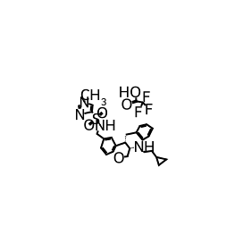 Cn1cnc(S(=O)(=O)NCc2ccc3c(c2)[C@H](Cc2ccccc2)[C@H](NCCC2CC2)CO3)c1.O=C(O)C(F)(F)F